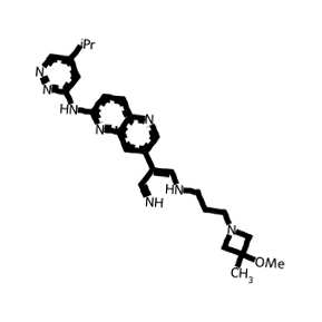 COC1(C)CN(CCCN/C=C(\C=N)c2cnc3ccc(Nc4cc(C(C)C)cnn4)nc3c2)C1